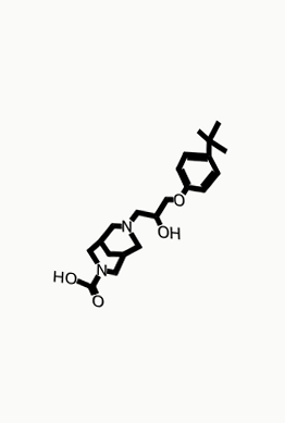 CC(C)(C)c1ccc(OCC(O)CN2CC3CC(C2)CN(C(=O)O)C3)cc1